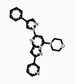 c1ccc(-c2cnn(-c3cc(N4CCOCC4)n4nc(-c5cccnc5)cc4n3)c2)cc1